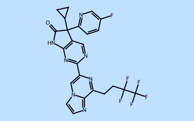 O=C1Nc2nc(-c3cn4ccnc4c(CCC(F)(F)C(F)(F)F)n3)ncc2C1(c1ccc(F)cn1)C1CC1